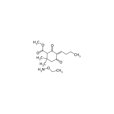 CCCC=C1C(=O)CC(C)(C)C(C(=O)OC)C1=O.CCON